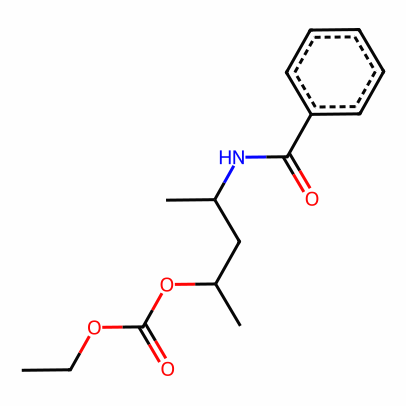 CCOC(=O)OC(C)CC(C)NC(=O)c1ccccc1